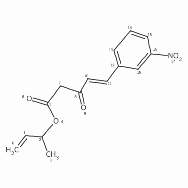 C=CC(C)OC(=O)CC(=O)C=Cc1cccc([N+](=O)[O-])c1